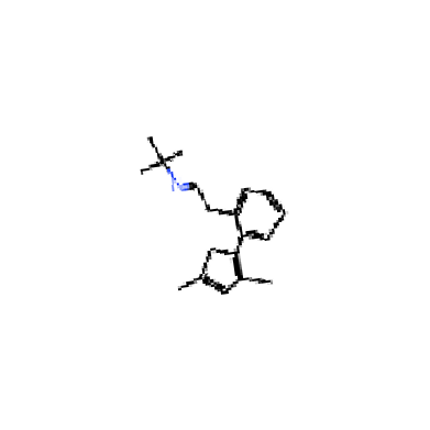 CC1=CC(C)=C(c2ccccc2CC=NC(C)(C)C)C1